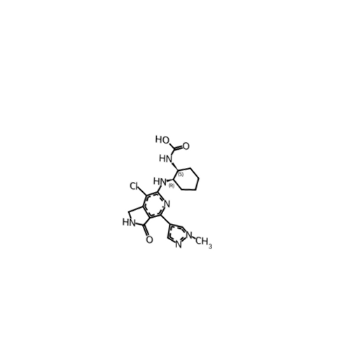 Cn1cc(-c2nc(N[C@@H]3CCCC[C@@H]3NC(=O)O)c(Cl)c3c2C(=O)NC3)cn1